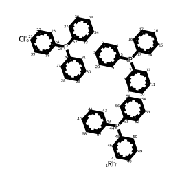 [Cl-].[Rh].c1ccc(P(c2ccccc2)c2ccccc2)cc1.c1ccc(P(c2ccccc2)c2ccccc2)cc1.c1ccc(P(c2ccccc2)c2ccccc2)cc1